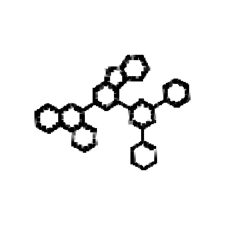 C1=CC(c2nc(-c3ccccc3)nc(-c3cc(-c4cc5ccccc5c5ccccc45)cc4oc5ccccc5c34)n2)=CCC1